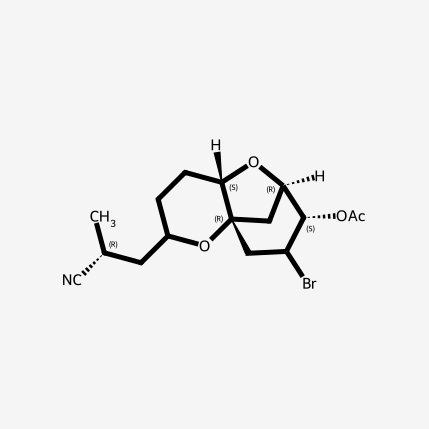 CC(=O)O[C@@H]1C(Br)C[C@]23C[C@H]1O[C@H]2CCC(C[C@@H](C)C#N)O3